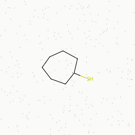 S[C]1CCCCCC1